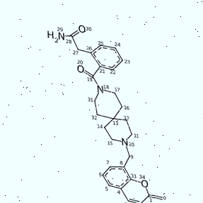 C=C1C=Cc2cccc(CN3CCC4(CC3)CCN(C(=O)c3ccccc3CC(N)=O)CC4)c2O1